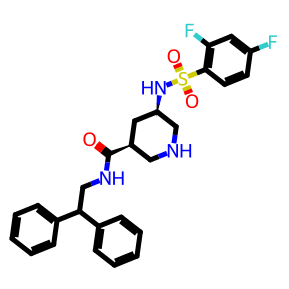 O=C(NCC(c1ccccc1)c1ccccc1)[C@@H]1CNC[C@H](NS(=O)(=O)c2ccc(F)cc2F)C1